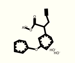 C#CCC(C(=O)[O][Al+2])c1cccc(Oc2ccccc2)c1.[OH-].[OH-]